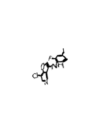 Fc1cc(I)ccc1Nc1coc2c(Cl)cncc12